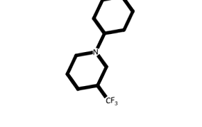 FC(F)(F)C1CCCN(C2CCCCC2)C1